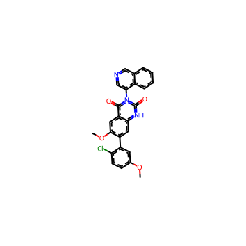 COc1ccc(Cl)c(-c2cc3[nH]c(=O)n(-c4cncc5ccccc45)c(=O)c3cc2OC)c1